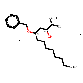 CCCCCCCCCCCCCCCCC[C@H](C[C@H](O)C(CC)C(=O)O)OCc1ccccc1